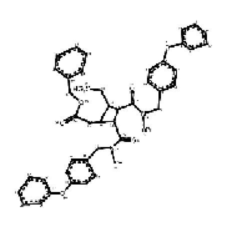 CCCN(Cc1ccc(Oc2ccccc2)cc1)C(=O)C1C(CC(=O)O)C(CC(=O)OCc2ccccc2)C1C(=O)N(CCC)Cc1ccc(Oc2ccccc2)cc1